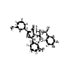 CCn1c(-c2cccc(F)c2)nc(-c2cccc(F)c2)c1C(=O)NC(C)c1ccccc1